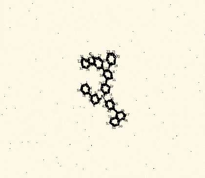 c1ccc(-c2cccc(N(c3ccc(-c4ccc(-c5ccccc5)c(-c5ccc6sc7ccccc7c6c5)c4)cc3)c3ccc(-c4cccc5ccccc45)cc3)c2)cc1